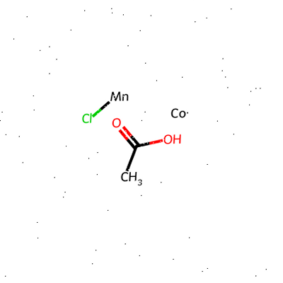 CC(=O)O.[Cl][Mn].[Co]